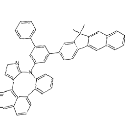 CC1(C)c2cc(-c3cc(-c4ccccc4)cc(N4C5=NCC=C5c5cccc6cccc(c56)-c5ccccc54)c3)ccc2-c2cc3ccccc3cc21